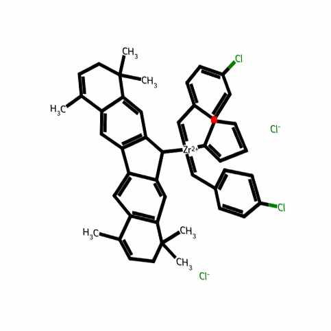 CC1=CCC(C)(C)c2cc3c(cc21)-c1cc2c(cc1[CH]3[Zr+2](=[CH]c1ccc(Cl)cc1)(=[CH]c1ccc(Cl)cc1)[C]1=CC=CC1)C(C)(C)CC=C2C.[Cl-].[Cl-]